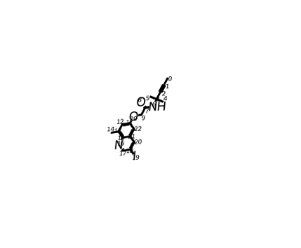 CC#CC(C)(C)NC(=O)COc1cc(C)c2ncc(I)cc2c1